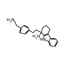 NCCc1ccc(CCC2(N)CCCc3c2[nH]c2ccccc32)cc1